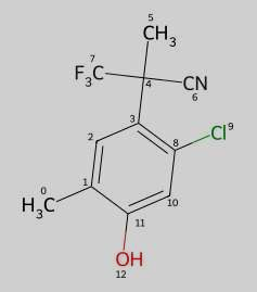 Cc1cc(C(C)(C#N)C(F)(F)F)c(Cl)cc1O